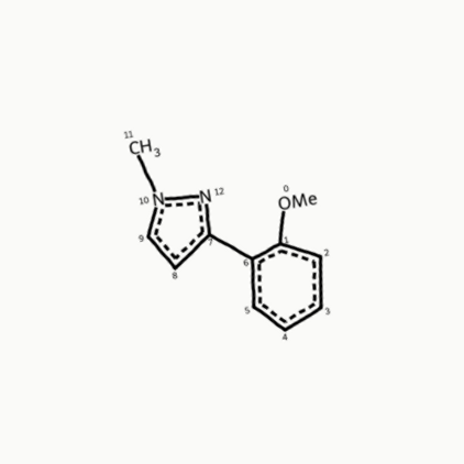 COc1ccccc1-c1ccn(C)n1